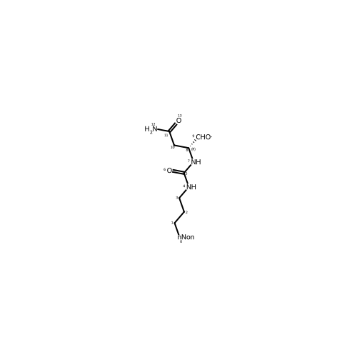 CCCCCCCCCCCCNC(=O)N[C@@H]([C]=O)CC(N)=O